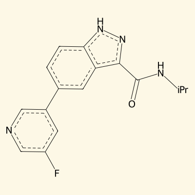 CC(C)NC(=O)c1n[nH]c2ccc(-c3cncc(F)c3)cc12